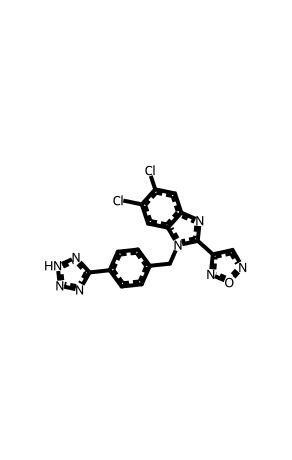 Clc1cc2nc(-c3cnon3)n(Cc3ccc(-c4nn[nH]n4)cc3)c2cc1Cl